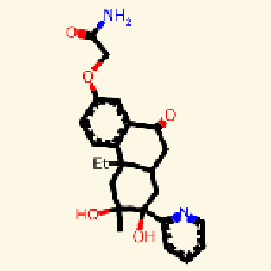 CCC12CC(C)(O)C(O)(c3ccccn3)CC1CC(=O)c1cc(OCC(N)=O)ccc12